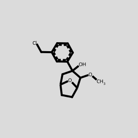 COC1C2CCC(CC1(O)c1cccc(CCl)c1)O2